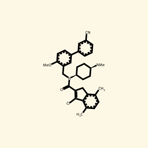 CN[C@H]1CC[C@@H](N(Cc2cc(-c3cccc(C#N)c3)ccc2OC)C(=O)C2=C(Cl)c3c(C)ccc(C)c3C2)CC1